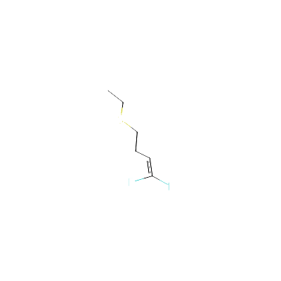 C[CH]SCCC=C(F)F